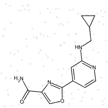 NC(=O)c1coc(-c2ccnc(NCC3CC3)c2)n1